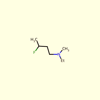 CCN(C)CCC(C)F